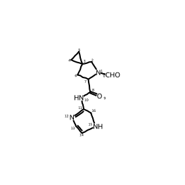 O=CN1CC2(CC2)CC1C(=O)NC1=NC=CNC1